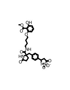 COC(=O)c1c(O)cccc1OCCCCNC(=O)C1(Cc2ccc(C3CC(=O)[N+]([O-])([O-])S3)cc2)CCC(=O)N1